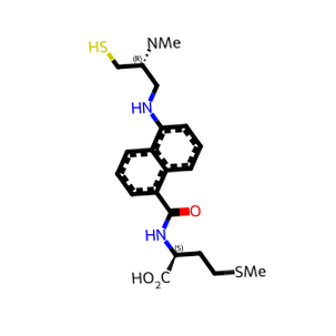 CN[C@@H](CS)CNc1cccc2c(C(=O)N[C@@H](CCSC)C(=O)O)cccc12